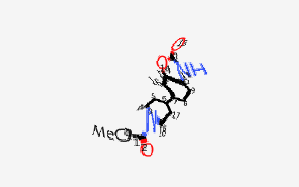 COC(=O)N1CCC(c2ccc3[nH]c(=O)oc3c2)CC1